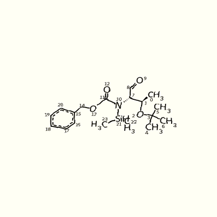 C[C@@H](OC(C)(C)C)[C@@H](C=O)N(C(=O)OCc1ccccc1)[SiH](C)C